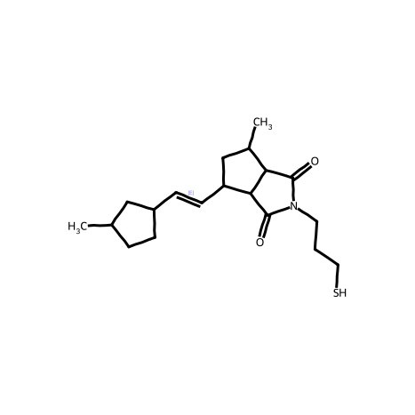 CC1CCC(/C=C/C2CC(C)C3C(=O)N(CCCS)C(=O)C23)C1